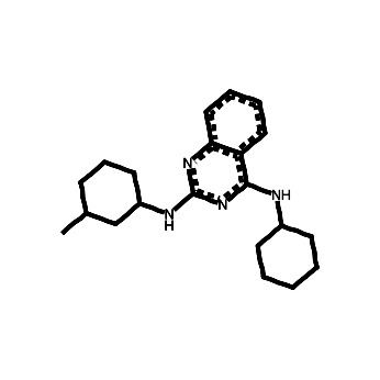 CC1CCCC(Nc2nc(NC3CCCCC3)c3ccccc3n2)C1